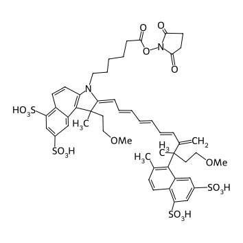 C=C(/C=C/C=C/C=C/C=C1/N(CCCCCC(=O)ON2C(=O)CCC2=O)c2ccc3c(S(=O)(=O)O)cc(S(=O)(=O)O)cc3c2C1(C)CCOC)C(C)(CCOC)c1c(C)ccc2c(S(=O)(=O)O)cc(S(=O)(=O)O)cc12